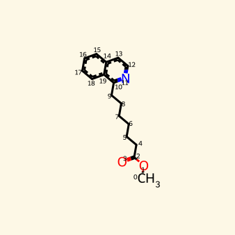 COC(=O)CCCCCCc1nccc2ccccc12